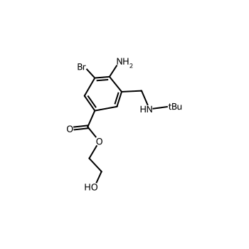 CC(C)(C)NCc1cc(C(=O)OCCO)cc(Br)c1N